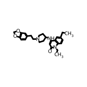 CCc1ccc2c(c1)c(NC1CCN(CCc3ccc4c(c3)OCO4)CC1)cc(=O)n2CC